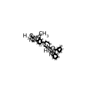 CCOc1cc(N2CCCN(C(=O)Nc3nc4ccccc4n3Cc3ccccc3)CC2)ccc1-n1cnc(C)n1